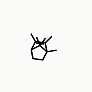 CC1=C(C)C2(C)CCC1C2(C)C